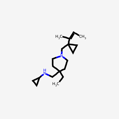 C/C=C(/C)C1(CN2CCC(CC)(CNC3CC3)CC2)CC1